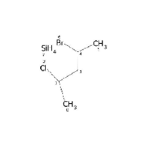 CC(Cl)CC(C)Br.[SiH4]